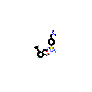 CC(C)c1cc(F)cc(C2CC2)c1CC(=O)N=S(N)(=O)c1ccc(CN(C)C)cc1